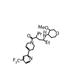 CCC(CC(C(=O)N1CC=C(c2cc(C(F)(F)F)ccn2)CC1)C(C)C)NC1CCOCC1OC